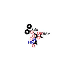 COCC(C)OC1C(O)[C@@H](CO[Si](c2ccccc2)(c2ccccc2)C(C)(C)C)O[C@H]1n1cc(C)c(=O)[nH]c1=O